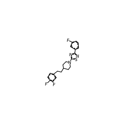 Fc1cccc(-c2nsc(N3CCC(CCc4ccc(F)c(F)c4)CC3)n2)c1